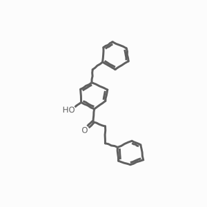 O=C(CCc1ccccc1)c1ccc(Cc2ccccc2)cc1O